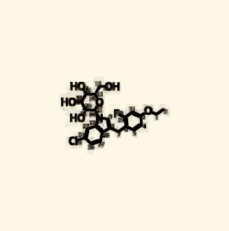 CCOc1ccc(Cc2cn([C@@H]3O[C@H](CO)[C@@H](O)[C@H](O)[C@H]3O)c3cc(Cl)ccc23)c(F)c1